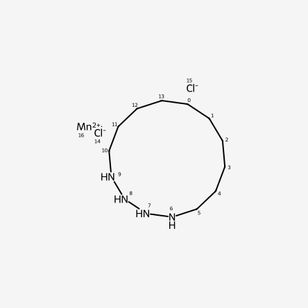 C1CCCCCNNNNCCCC1.[Cl-].[Cl-].[Mn+2]